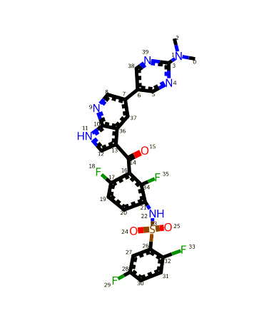 CN(C)c1ncc(-c2cnc3[nH]cc(C(=O)c4c(F)ccc(NS(=O)(=O)c5cc(F)ccc5F)c4F)c3c2)cn1